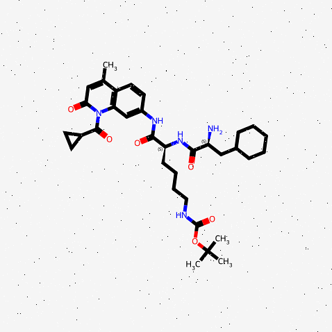 Cc1cc(=O)n(C(=O)C2CC2)c2cc(NC(=O)[C@H](CCCCNC(=O)OC(C)(C)C)NC(=O)[C@@H](N)CC3CCCCC3)ccc12